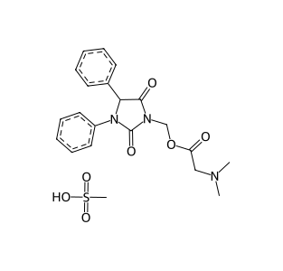 CN(C)CC(=O)OCN1C(=O)C(c2ccccc2)N(c2ccccc2)C1=O.CS(=O)(=O)O